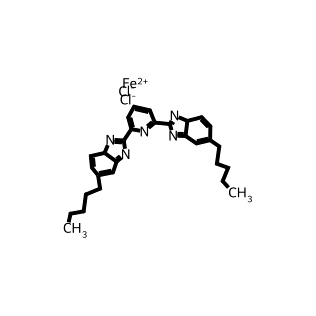 CCCCCC1=CC2=NC(c3cccc(C4=NC5C=CC(CCCCC)=CC5=N4)n3)=NC2C=C1.[Cl-].[Cl-].[Fe+2]